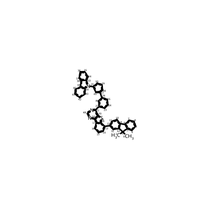 CC1(C)c2ccccc2-c2ccc(-c3cccc4c3sc3c(-c5cccc(-c6cccc(-n7c8ccccc8c8ccccc87)c6)c5)ncnc34)cc21